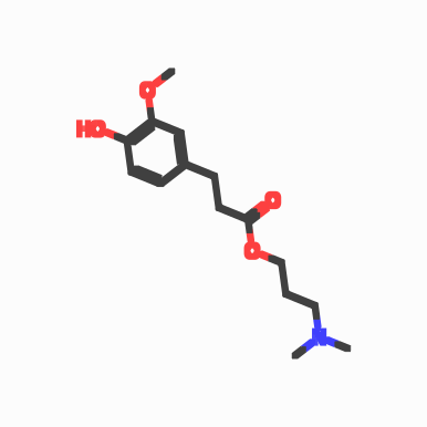 COc1cc(CCC(=O)OCCCN(C)C)ccc1O